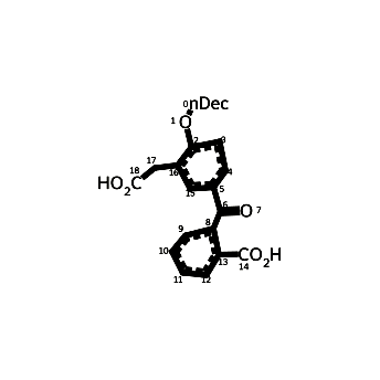 CCCCCCCCCCOc1ccc(C(=O)c2ccccc2C(=O)O)cc1CC(=O)O